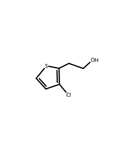 OCCc1sccc1Cl